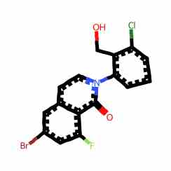 O=c1c2c(F)cc(Br)cc2ccn1-c1cccc(Cl)c1CO